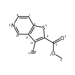 COC(=O)c1sc2ccncc2c1Br